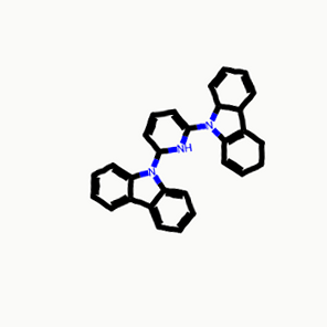 C1=CC2C3=C(C=CCC3)N(C3=CC=CC(n4c5ccccc5c5ccccc54)N3)C2C=C1